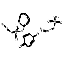 O=C1C=CC(=O)C=C1.[N-]=[N+]=NS(=O)(=O)O.[N-]=[N+]=NS(=O)(=O)Oc1ccccc1